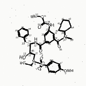 COc1ccc(S(=O)(=O)N(CC(C)C)C[C@@H](O)[C@H](Cc2ccccc2)NC(=O)c2cc(NC(=O)OC(C)(C)C)cc(C(=O)N(C)C3CCCCC3)c2)cc1